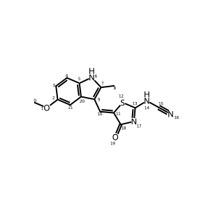 COc1ccc2[nH]c(C)c(/C=C3\SC(NC#N)=NC3=O)c2c1